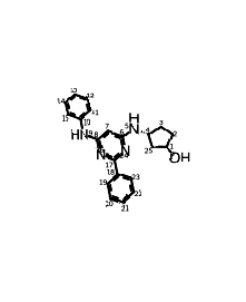 O[C@@H]1CC[C@@H](Nc2cc(Nc3ccccc3)nc(-c3ccccc3)n2)C1